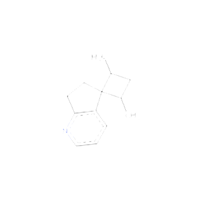 CC1CC(C)C12CCc1ncccc12